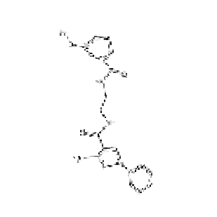 CC(C)Oc1cccc(C(=O)NCCNC(=O)c2cn(-c3ccccc3)nc2C(F)(F)F)c1